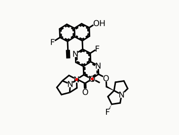 C#Cc1c(F)ccc2cc(O)cc(-c3ncc4c(N5CC6CCC(C5)N6CC(=O)OC)nc(OC[C@@]56CCCN5C[C@H](F)C6)nc4c3F)c12